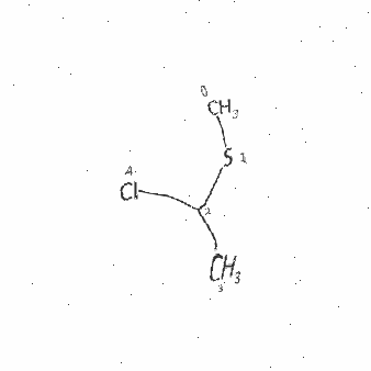 CSC(C)Cl